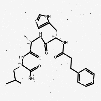 CC(C)C[C@H](NC(=O)[C@H](C)NC(=O)[C@H](Cc1cnc[nH]1)NC(=O)CCc1ccccc1)C(N)=O